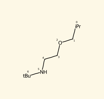 CC(C)COCCNC(C)(C)C